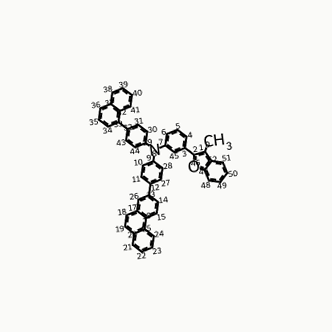 Cc1c(-c2cccc(N(c3ccc(-c4ccc5c(ccc6ccccc65)c4)cc3)c3ccc(-c4cccc5ccccc45)cc3)c2)oc2ccccc12